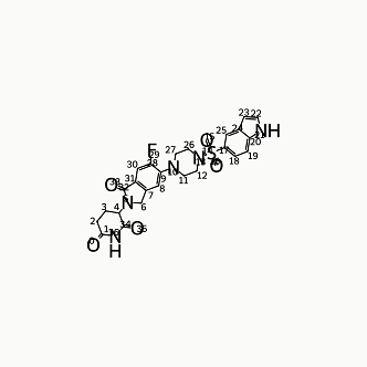 O=C1CCC(N2Cc3cc(N4CCN(S(=O)(=O)c5ccc6[nH]ccc6c5)CC4)c(F)cc3C2=O)C(=O)N1